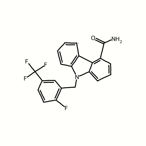 NC(=O)c1cccc2c1c1[c]cccc1n2Cc1cc(C(F)(F)F)ccc1F